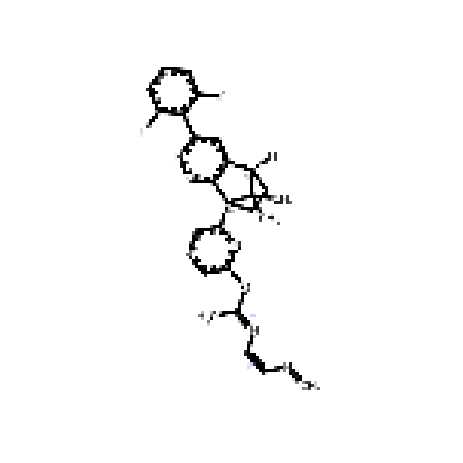 C=N/C=C\N=C(/C)Oc1cncc([C@@]23CC[C@@H](c4cc(-c5c(F)cccc5F)nnc42)C3(C)C)n1